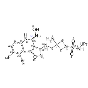 CC(C)NS(=O)(=O)N1CC(N)(CNc2nonc2/C(=N/O)Nc2ccc(F)c(Br)c2)C1